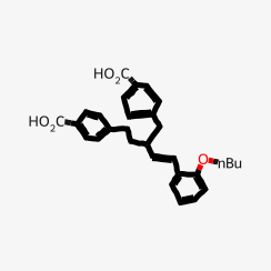 CCCCOc1ccccc1C=CC(CCc1ccc(C(=O)O)cc1)Cc1ccc(C(=O)O)cc1